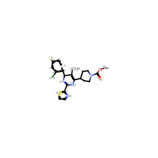 CCOC(=O)C1=C(C2CCN(C(=O)OC(C)(C)C)CC2)NC(c2nccs2)=NC1c1ccc(F)cc1Cl